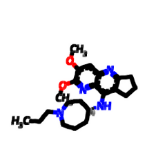 CCCN1CCC[C@@H](Nc2c3c(nc4cc(OC)c(OC)nc24)CCC3)CC1